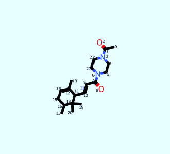 CC(=O)N1CCN(C(=O)/C=C/C2C(C)=CCC(C)C2(C)C)CC1